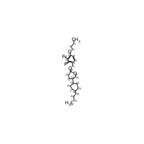 CCCCOc1ccc(COC2CCC(C3CCC(CCCC)CC3)CO2)c(F)c1F